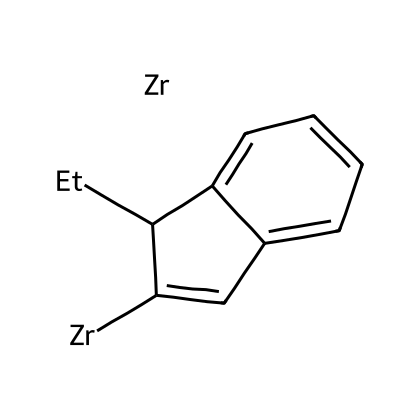 CCC1[C]([Zr])=Cc2ccccc21.[Zr]